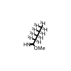 [2H]C([2H])([2H])C([2H])([2H])C([2H])([2H])C([2H])([2H])C(=N)OC